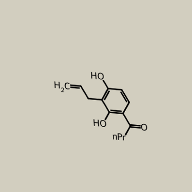 C=CCc1c(O)ccc(C(=O)CCC)c1O